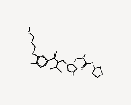 COCCCOc1cc(C(=O)N(C[C@@H]2CNC[C@H]2CN(C)C(=O)O[C@H]2CCOC2)C(C)C)ccc1C